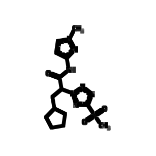 Cn1ccc(NC(=O)C(CC2CCCC2)n2nnc(S(C)(=O)=O)n2)n1